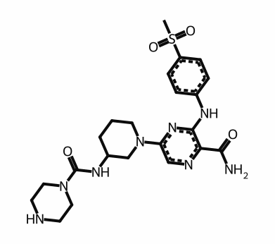 CS(=O)(=O)c1ccc(Nc2nc(N3CCCC(NC(=O)N4CCNCC4)C3)cnc2C(N)=O)cc1